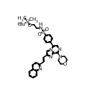 CC(C)(C)[Si](C)(C)OCCNS(=O)(=O)c1ccc(-c2cnc(N3CCOCC3)c3nc(/C=C/c4ccc5ccccc5n4)cn23)cc1